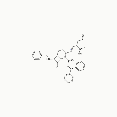 CN(O)C(/C=C/C1=C(C(=O)OC(c2ccccc2)c2ccccc2)N2C(=O)C(NCc3ccccc3)C2SC1)CC=O